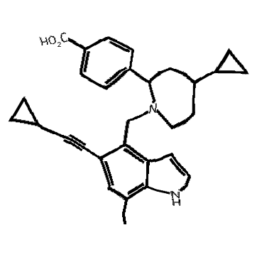 Cc1cc(C#CC2CC2)c(CN2CCC(C3CC3)CC2c2ccc(C(=O)O)cc2)c2cc[nH]c12